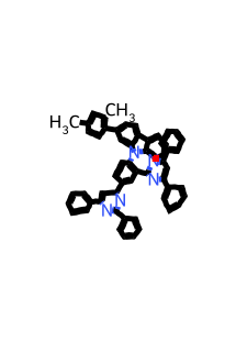 Cc1ccc(-c2ccc3c4ccccc4n(-c4ccc(-c5cc(-c6ccccc6)nc(-c6ccccc6)n5)cc4-c4nc(-c5ccccc5)cc(-c5ccccc5)n4)c3c2)c(C)c1